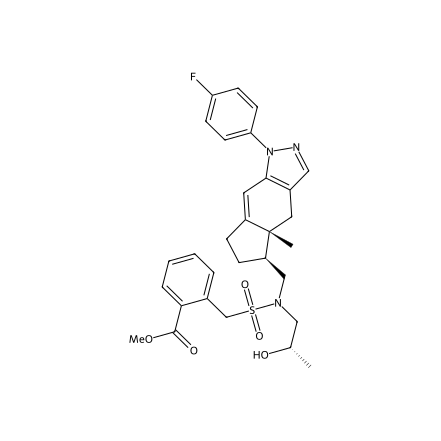 COC(=O)c1ccccc1CS(=O)(=O)N(C[C@H]1CCC2=Cc3c(cnn3-c3ccc(F)cc3)C[C@@]21C)C[C@H](C)O